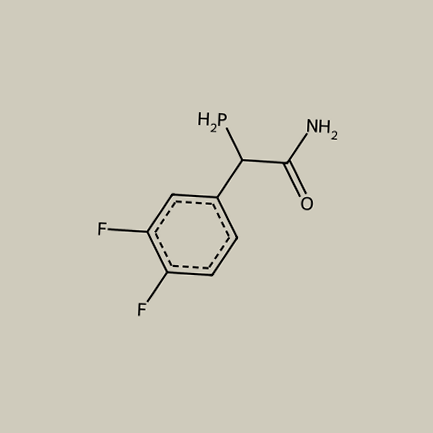 NC(=O)C(P)c1ccc(F)c(F)c1